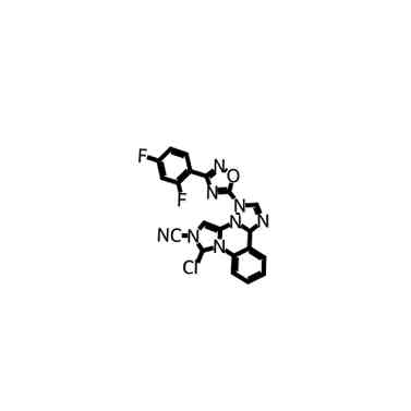 N#CN1C=C2N(c3ccccc3C3N=CN(c4nc(-c5ccc(F)cc5F)no4)N23)C1Cl